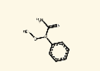 CCCCON(C(N)=S)c1ccccc1